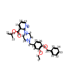 CCOc1cc(CN2CCN(c3ncccc3C(=O)OC(C)C)CC2)ccc1OCc1ccccc1